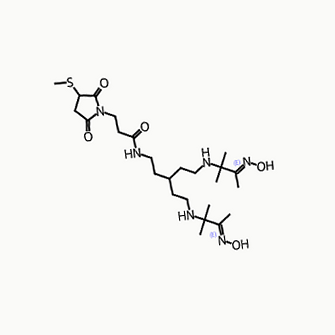 CSC1CC(=O)N(CCC(=O)NCCC(CCNC(C)(C)/C(C)=N/O)CCNC(C)(C)/C(C)=N/O)C1=O